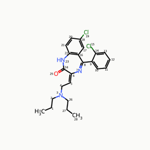 CCCN(CC=C1N=C(c2ccccc2Cl)c2cc(Cl)ccc2NC1=O)CCC